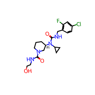 O=C(NCCO)N1CCC[C@@H](N(C(=O)NCc2ccc(Cl)cc2F)C2CC2)C1